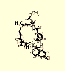 COCC[C@@H]1[C@@H](C)C/C=C/C(=O)[C@@H]2CC[C@H]2CN2C[C@@]3(CCCc4cc(Cl)ccc43)COc3ccc(cc32)C(=O)NS1(=O)=O